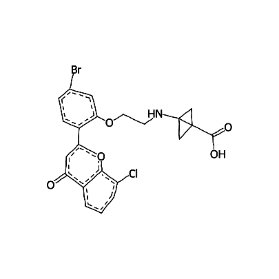 O=C(O)C12CC1(NCCOc1cc(Br)ccc1-c1cc(=O)c3cccc(Cl)c3o1)C2